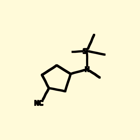 CN(C1CCC(C#N)C1)[Si](C)(C)C